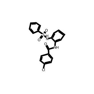 O=C(Nc1ccccc1NS(=O)(=O)c1ccccc1)c1ccc(Cl)cc1